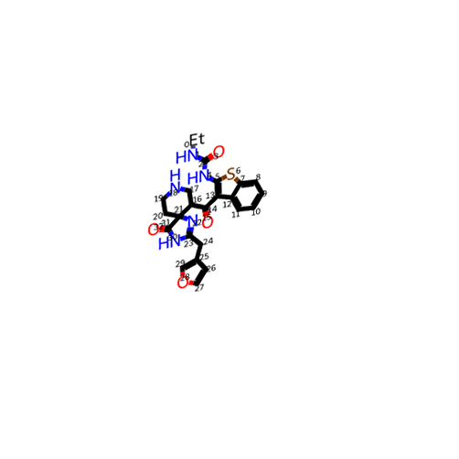 CCNC(=O)Nc1sc2ccccc2c1C(=O)C1CNCCC12N=C(Cc1ccoc1)NC2=O